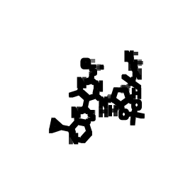 Cc1nc([S+](C)[O-])nc(N[C@@H]2C[C@H](C(C)(C)N=[N+]=[N-])[C@H]3OC(C)(C)O[C@H]32)c1-c1nc2c(C3CC3)nccc2s1